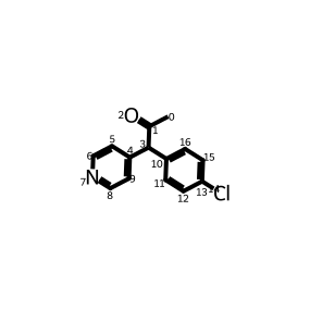 CC(=O)C(c1ccncc1)c1ccc(Cl)cc1